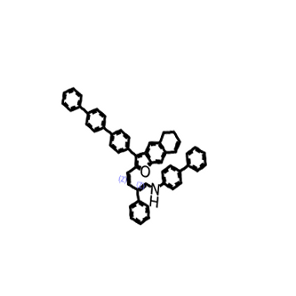 C1=Cc2cc3oc(/C=C\C(=C\Nc4ccc(-c5ccccc5)cc4)c4ccccc4)c(-c4ccc(-c5ccc(-c6ccccc6)cc5)cc4)c3cc2CC1